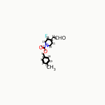 Cc1ccc(COC(=O)N2CC[C@H](CC=O)[C@H](F)C2)cc1